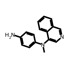 CN(c1ccc(N)cc1)c1cncc2ccccc12